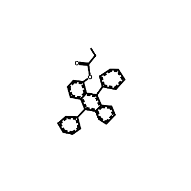 CCC(=O)Oc1cccc2c(-c3ccccc3)c3ccccc3c(-c3ccccc3)c12